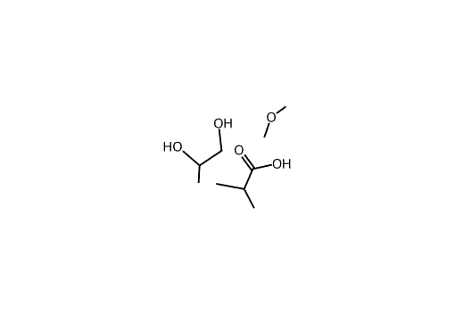 CC(C)C(=O)O.CC(O)CO.COC